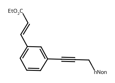 CCCCCCCCCCC#Cc1cccc(C=CC(=O)OCC)c1